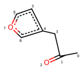 CC(=O)Cc1c[c]oc1